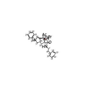 CC(=O)C1NC2(C(=O)NCCc3ccccc3)CC3CN(Cc4ccccc4)C(C31)C2CC(C)C